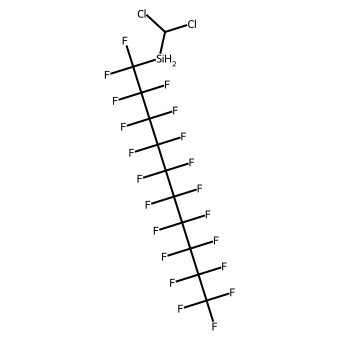 FC(F)(F)C(F)(F)C(F)(F)C(F)(F)C(F)(F)C(F)(F)C(F)(F)C(F)(F)C(F)(F)C(F)(F)[SiH2]C(Cl)Cl